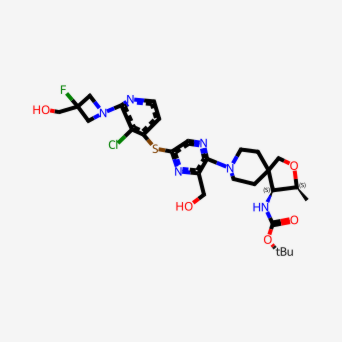 C[C@@H]1OCC2(CCN(c3ncc(Sc4ccnc(N5CC(F)(CO)C5)c4Cl)nc3CO)CC2)[C@@H]1NC(=O)OC(C)(C)C